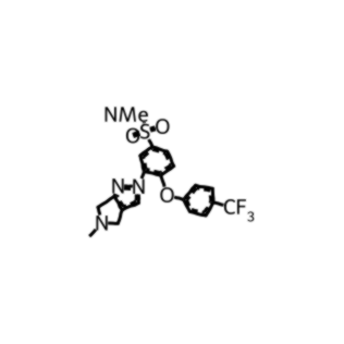 CNS(=O)(=O)c1ccc(Oc2ccc(C(F)(F)F)cc2)c(-n2cc3c(n2)CN(C)C3)c1